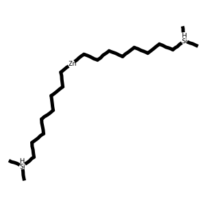 C[SiH](C)CCCCCCC[CH2][Zn][CH2]CCCCCCC[SiH](C)C